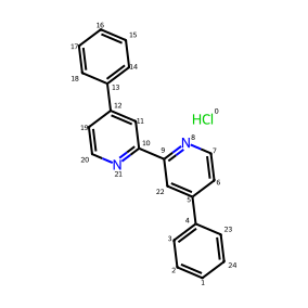 Cl.c1ccc(-c2ccnc(-c3cc(-c4ccccc4)ccn3)c2)cc1